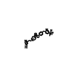 O=C(Oc1ccc(Cc2ccc(C(F)(F)F)cn2)cc1)N1CCN(CCc2c[nH]cn2)CC1